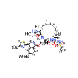 CC[C@@H]1C[C@H](C)CCC=C[C@@H]2C[C@@]2(C(=O)NS(=O)(=O)C2CC2)NC(=O)[C@@H]2C[C@@H](Oc3ncc(-c4nc(C(C)(C)C)cs4)c4cc(OC)ccc34)CN2C(=O)[C@H]1NC(=O)O